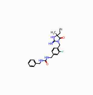 CC(C)CC1(C)NC(=N)N(Cc2ccc(CNC(=O)NCc3ccccc3)cc2F)C1=O